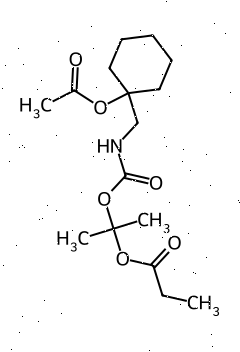 CCC(=O)OC(C)(C)OC(=O)NCC1(OC(C)=O)CCCCC1